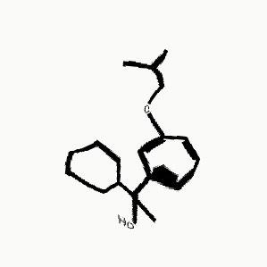 CC(C)COc1cccc(C(C)(O)C2CCCCC2)c1